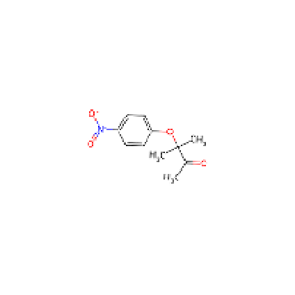 CC(=O)C(C)(C)Oc1ccc([N+](=O)[O-])cc1